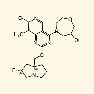 Cc1c(Cl)ncc2c(N3CCOCC(O)C3)nc(OC[C@@]34CCCN3C[C@H](F)C4)nc12